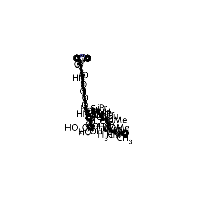 CC[C@H](C)[C@@H]([C@@H](CC(=O)N1CCC[C@H]1[C@H](OC)[C@@H](C)C(=O)N[C@H](C)[C@@H](O)c1ccccc1)OC)N(C)C(=O)[C@@H](NC(=O)[C@H](C(C)C)N(C)C(=O)OCc1cc(NC(=O)CCOCCOCCOCCOCCNC(=O)CCCCC(=O)N2Cc3ccccc3/C=C\c3ccccc32)ccc1O[C@@H]1OC(C(=O)O)[C@@H](O)C(O)C1O)C(C)C